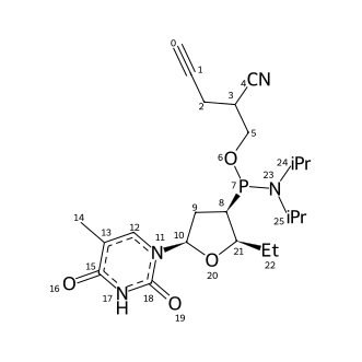 C#CCC(C#N)COP([C@@H]1C[C@H](n2cc(C)c(=O)[nH]c2=O)O[C@@H]1CC)N(C(C)C)C(C)C